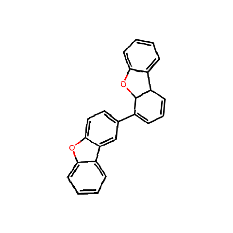 C1=CC2c3ccccc3OC2C(c2ccc3oc4ccccc4c3c2)=C1